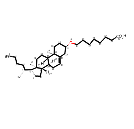 CC(C)CCC[C@@H](C)[C@H]1CC[C@H]2[C@@H]3CC=C4C[C@@H](OCCCCCCCC(=O)O)CC[C@]4(C)[C@H]3CC[C@]12C